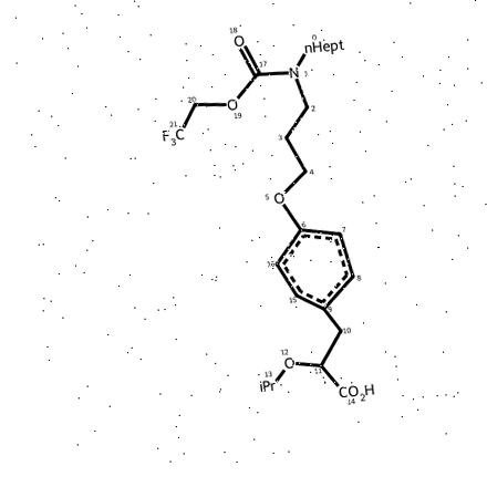 CCCCCCCN(CCCOc1ccc(CC(OC(C)C)C(=O)O)cc1)C(=O)OCC(F)(F)F